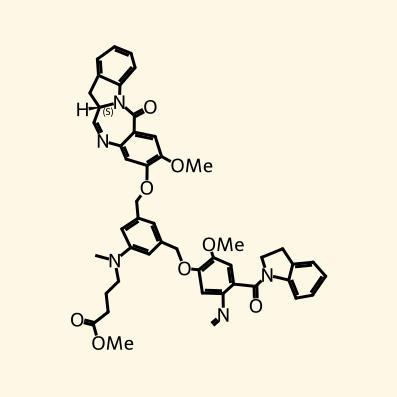 C=Nc1cc(OCc2cc(COc3cc4c(cc3OC)C(=O)N3c5ccccc5C[C@H]3C=N4)cc(N(C)CCCC(=O)OC)c2)c(OC)cc1C(=O)N1CCc2ccccc21